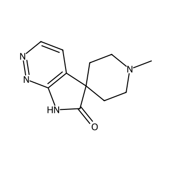 CN1CCC2(CC1)C(=O)Nc1nnccc12